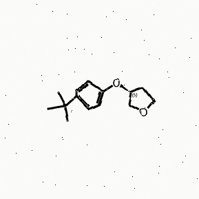 CC(C)(C)c1ccc(O[C@H]2CCOC2)cc1